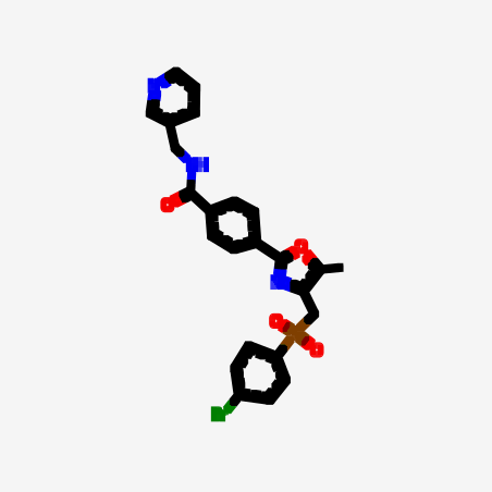 Cc1oc(-c2ccc(C(=O)NCc3cccnc3)cc2)nc1CS(=O)(=O)c1ccc(Br)cc1